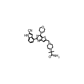 CC(C)(C(N)=O)N1CCN(Cc2cc3nc(-c4cccc5[nH]c(C#N)cc45)nc(N4CCOCC4)c3s2)CC1